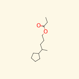 CCC(=O)OCCCC(C)C1CCCC1